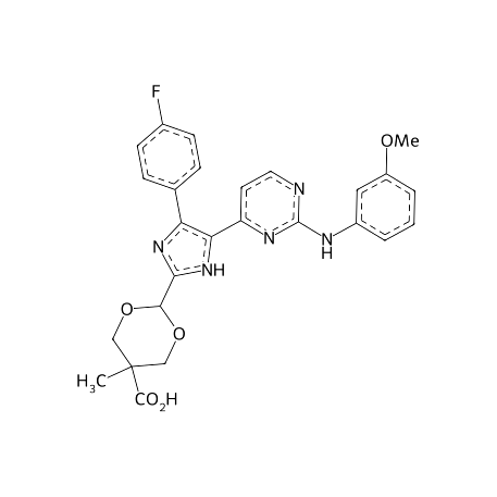 COc1cccc(Nc2nccc(-c3[nH]c(C4OCC(C)(C(=O)O)CO4)nc3-c3ccc(F)cc3)n2)c1